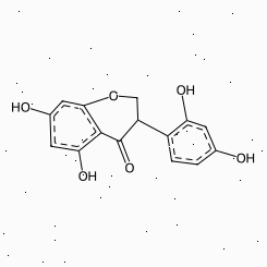 O=C1c2c(O)cc(O)cc2OCC1c1ccc(O)cc1O